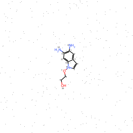 Nc1cc2ccn(OCCO)c2cc1N